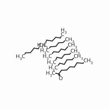 CCCCCC.CCCCCC.CCCCCC.CCCCCC.CCCCCC.CCCCCC.CCCCCCCC(C)=O